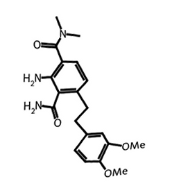 COc1ccc(CCc2ccc(C(=O)N(C)C)c(N)c2C(N)=O)cc1OC